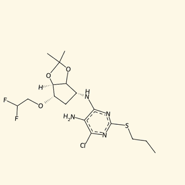 CCCSc1nc(Cl)c(N)c(N[C@@H]2C[C@H](OCC(F)F)[C@H]3OC(C)(C)OC23)n1